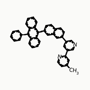 Cc1ccnc(-c2cncc(-c3ccc4ccc(-c5c6ccccc6c(-c6ccccc6)c6ccccc56)cc4c3)c2)c1